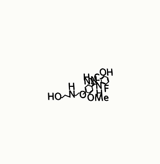 COc1cc2c(Nc3c(F)ccc(O)c3C)ncnc2cc1OCCNCCCO